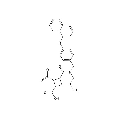 CCCN(Cc1ccc(Oc2cccc3ccccc23)cc1)C(=O)C1CC(C(=O)O)C1C(=O)O